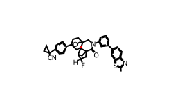 Cc1nc2ccc(-c3cccc(N(CC45CCC(c6ccc(C7(C#N)CC7)cc6)(CC4)OC5)C(=O)C45CC(C4)[C@@H](F)C5)c3)cc2s1